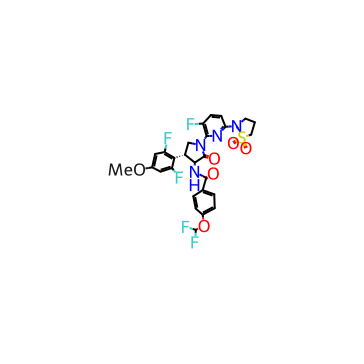 COc1cc(F)c([C@@H]2CN(c3nc(N4CCCS4(=O)=O)ccc3F)C(=O)[C@H]2NC(=O)c2ccc(OC(F)F)cc2)c(F)c1